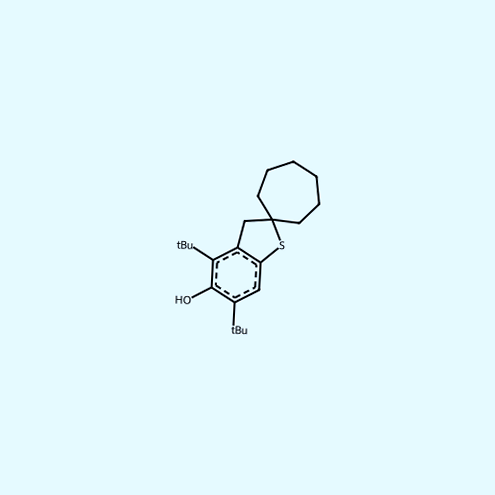 CC(C)(C)c1cc2c(c(C(C)(C)C)c1O)CC1(CCCCCC1)S2